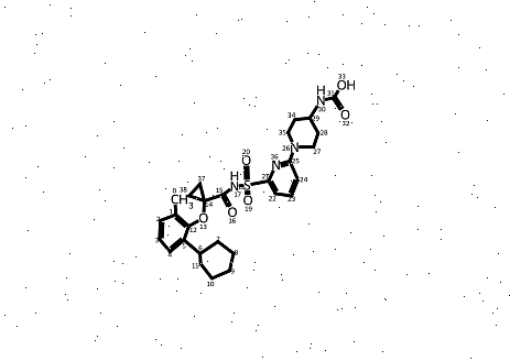 Cc1cccc(C2CCCCC2)c1OC1(C(=O)NS(=O)(=O)c2cccc(N3CCC(NC(=O)O)CC3)n2)CC1